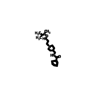 CC(C)P(C)ONCCN1CCC(CNC(=O)c2ccccc2)CC1